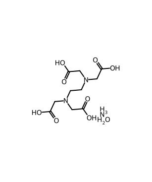 N.O.O=C(O)CN(CCN(CC(=O)O)CC(=O)O)CC(=O)O